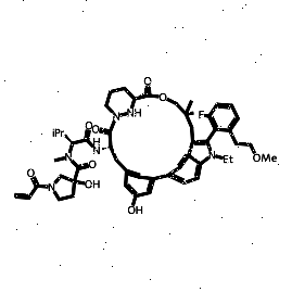 C=CC(=O)N1CCC(O)(C(=O)N(C)[C@H](C(=O)N[C@H]2Cc3cc(O)cc(c3)-c3ccc4c(c3)c(c(-c3c(F)cccc3CCOC)n4CC)CC(C)(C)COC(=O)[C@@H]3CCCN(N3)C2=O)C(C)C)C1